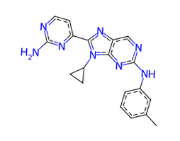 Cc1cccc(Nc2ncc3nc(-c4ccnc(N)n4)n(C4CC4)c3n2)c1